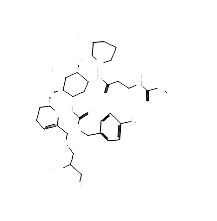 C[C@@H]1CO[C@H](O[C@@H]2[C@@H](O)[C@H](O[C@@H]3CCC=C(CNCC(O)CO)O3)[C@@H](NC(=O)OCc3ccc([N+](=O)[O-])cc3)C[C@H]2NC(=O)CCNC(=O)OC(C)(C)C)[C@H](O)C1